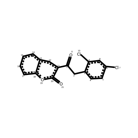 O=C(Cc1ccc(Cl)cc1Cl)c1cc2ccccc2oc1=O